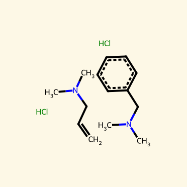 C=CCN(C)C.CN(C)Cc1ccccc1.Cl.Cl